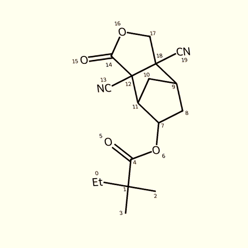 CCC(C)(C)C(=O)OC1CC2CC1C1(C#N)C(=O)OCC21C#N